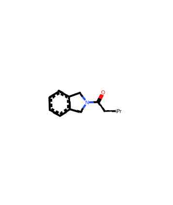 CC(C)CC(=O)N1Cc2ccccc2C1